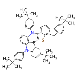 CC(C)(C)C1=CCC2C(C1)B1c3sc4c5c(ccc4c3N(C3=CCC(C(C)(C)C)C=C3)c3cccc(c31)N2c1ccc(C(C)(C)C)cc1)-c1cc(C(C)(C)C)ccc1C5